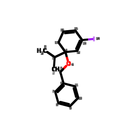 CC(C)C1(OCc2ccccc2)C=C(I)C=CC1